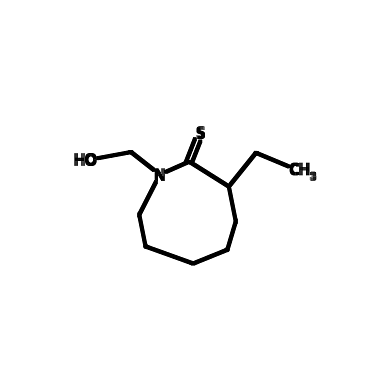 CCC1CCCCCN(CO)C1=S